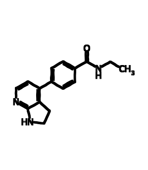 CCNC(=O)c1ccc(-c2ccnc3c2CCN3)cc1